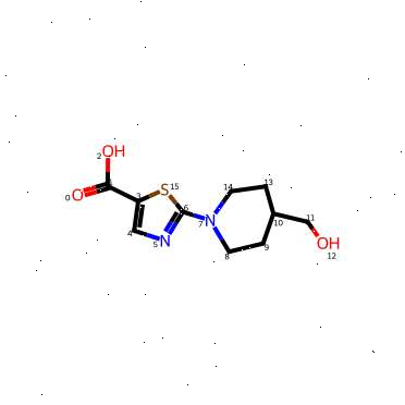 O=C(O)c1cnc(N2CCC(CO)CC2)s1